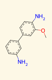 COc1cc(-c2cccc(N)c2)ccc1N